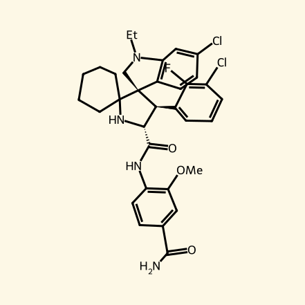 CCN1C[C@@]2(c3ccc(Cl)cc31)[C@@H](c1cccc(Cl)c1F)[C@H](C(=O)Nc1ccc(C(N)=O)cc1OC)NC21CCCCC1